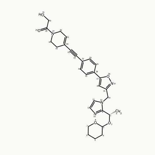 C[C@H](OC1CCCCO1)c1nccn1Cc1cc(-c2ccc(C#CC3=CCN(C(=O)CO)CC3)cc2)on1